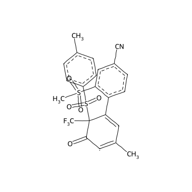 CC1=[C]C(=O)C(C(F)(F)F)(S(=O)(=O)c2ccc(C)cc2)C(c2ccc(C#N)cc2S(C)(=O)=O)=C1